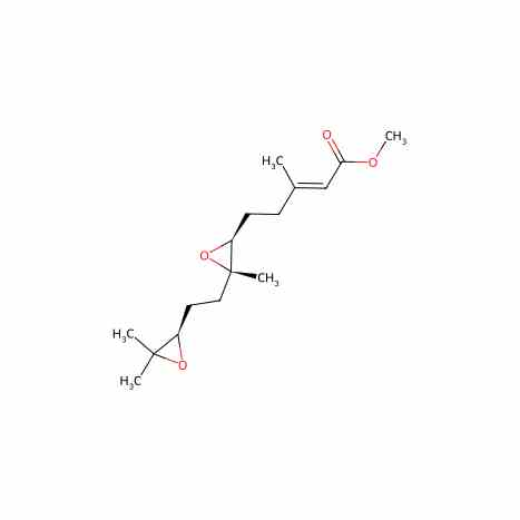 COC(=O)/C=C(\C)CC[C@@H]1O[C@@]1(C)CC[C@H]1OC1(C)C